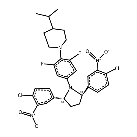 CC(C)C1CCN(c2c(F)cc(N3[C@@H](c4ccc(Cl)c([N+](=O)[O-])c4)CC[C@@H]3c3ccc(Cl)c([N+](=O)[O-])c3)cc2F)CC1